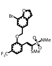 CNS(=O)(=O)/C(=C/c1ccc(C(F)(F)F)cc1OCc1cc(Br)c2occc2c1)SC